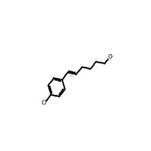 [O]CCCC/C=C/c1ccc(Cl)cc1